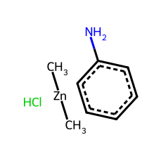 Cl.Nc1ccccc1.[CH3][Zn][CH3]